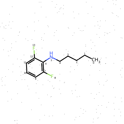 CCCCCNc1c(F)cccc1F